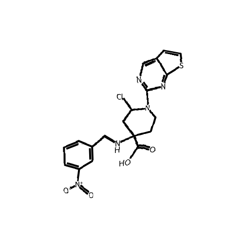 O=C(O)C1(NCc2cccc([N+](=O)[O-])c2)CCN(c2ncc3ccsc3n2)C(Cl)C1